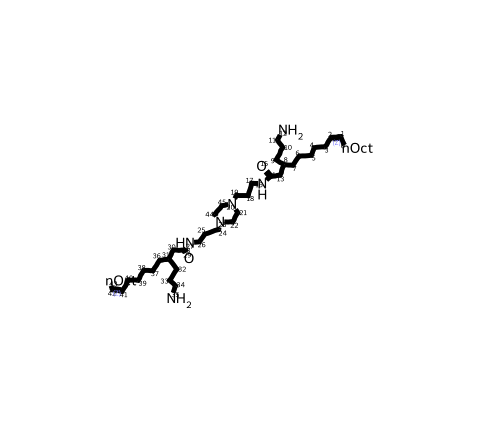 CCCCCCCC/C=C\CCCCCC(CCCN)CC(=O)NCCCN1CCN(CCCNC(=O)CC(CCCN)CCCCC/C=C\CCCCCCCC)CC1